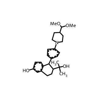 COC(OC)C1CCN(c2ccc(C3c4ccc(O)cc4CCC3C(C)(C)O)cc2)CC1